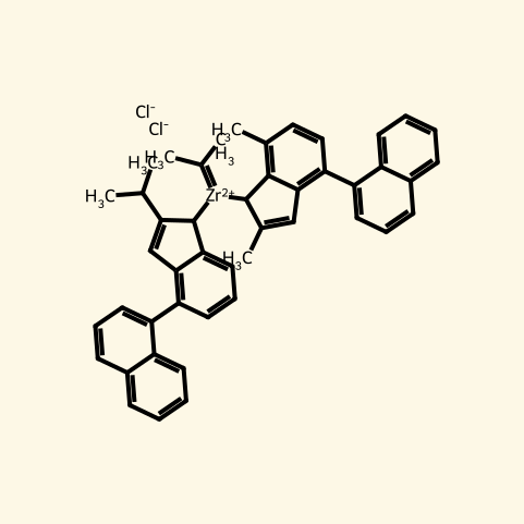 CC1=Cc2c(-c3cccc4ccccc34)ccc(C)c2[CH]1[Zr+2](=[C](C)C)[CH]1C(C(C)C)=Cc2c(-c3cccc4ccccc34)cccc21.[Cl-].[Cl-]